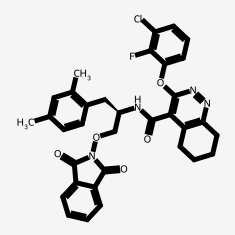 Cc1ccc(C[C@H](CON2C(=O)c3ccccc3C2=O)NC(=O)c2c(Oc3cccc(Cl)c3F)nnc3c2CCCC3)c(C)c1